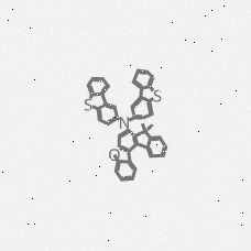 CC1(C)c2ccccc2-c2c1c(N(c1ccc3sc4ccccc4c3c1)c1ccc3sc4ccccc4c3c1)cc1oc3ccccc3c21